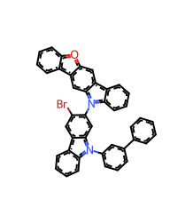 Brc1cc2c3ccccc3n(-c3cccc(-c4ccccc4)c3)c2cc1-n1c2ccccc2c2cc3oc4ccccc4c3cc21